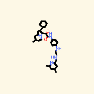 Cc1cc(C)nc(CNCCNc2ccc(NC(=O)C(=O)c3c(-c4ccccc4)cc4cc(C)ccn34)cc2)c1